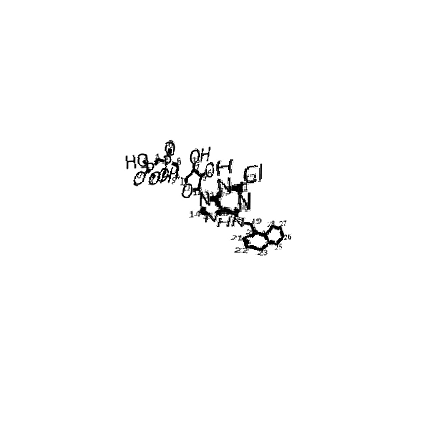 O=P(O)(O)CP(=O)(O)CC[C@H]1O[C@@H](n2cnc3c(NCc4cccc5ccccc45)nc(Cl)nc32)C(O)C1O